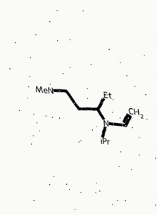 C=CN(C(C)C)C(CC)CCNC